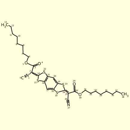 [C-]#[N+]C(C(=O)OCCCCCCCC)=C1Sc2cc3c(cc2S1)SC(=C(C#N)C(=O)OCCCCCCCC)S3